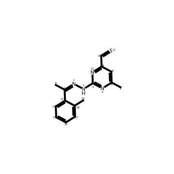 CC(=NNc1nc(C)cc(C=S)n1)c1ccccc1C